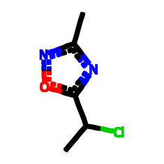 Cc1noc(C(C)Cl)n1